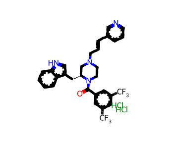 Cl.Cl.O=C(c1cc(C(F)(F)F)cc(C(F)(F)F)c1)N1CCN(CC=Cc2cccnc2)C[C@H]1Cc1c[nH]c2ccccc12